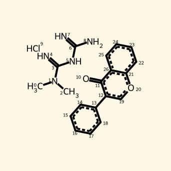 CN(C)C(=N)NC(=N)N.Cl.O=c1c(-c2ccccc2)coc2ccccc12